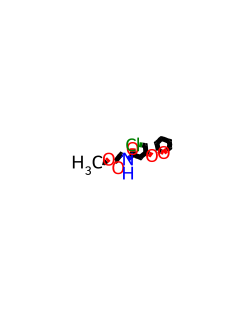 CCOC(=O)CNC(=O)CC(CCl)OC1CCCCO1